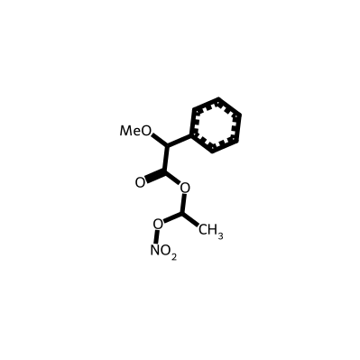 COC(C(=O)OC(C)O[N+](=O)[O-])c1ccccc1